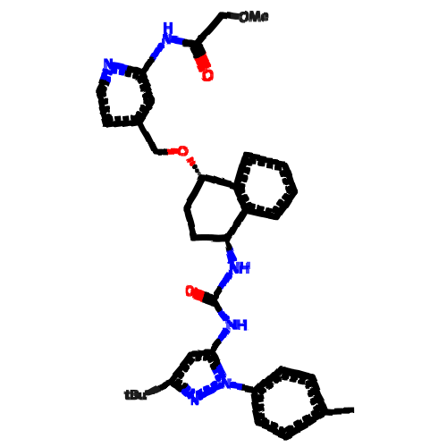 COCC(=O)Nc1cc(CO[C@H]2CC[C@H](NC(=O)Nc3cc(C(C)(C)C)nn3-c3ccc(C)cc3)c3ccccc32)ccn1